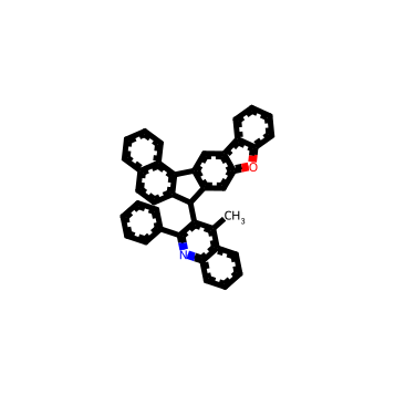 Cc1c(C2c3cc4oc5ccccc5c4cc3-c3c2ccc2ccccc32)c(-c2ccccc2)nc2ccccc12